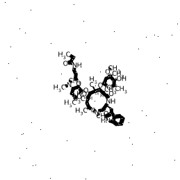 CCC(=O)NCCCO[C@H]1[C@H](O[C@@H]2[C@@H](C)[C@H](O[C@H]3C[C@@](C)(OC)[C@@H](O)[C@H](C)O3)[C@@H](C)C(=O)N[C@@H](Cc3c[nH]c4ccccc34)C(=O)N(C)C[C@H](C)C[C@@]2(C)O)O[C@H](C)C[C@@H]1N(C)C